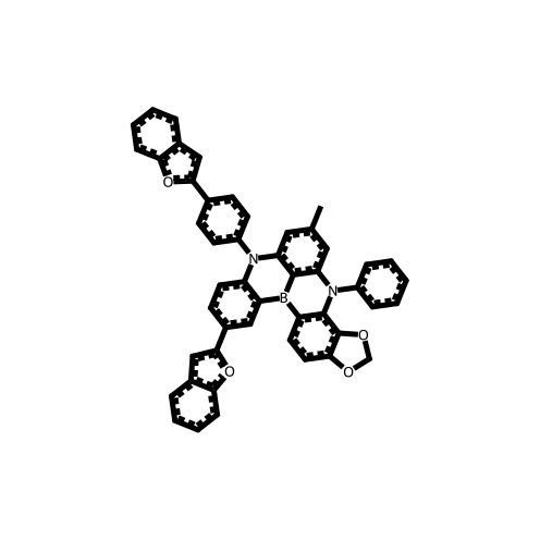 Cc1cc2c3c(c1)N(c1ccccc1)c1c(ccc4c1OCO4)B3c1cc(-c3cc4ccccc4o3)ccc1N2c1ccc(-c2cc3ccccc3o2)cc1